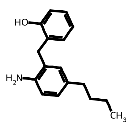 CCCCc1ccc(N)c(Cc2ccccc2O)c1